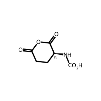 O=C(O)N[C@H]1CCC(=O)OC1=O